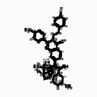 Cc1cnc(-c2nc3cc(N(C(=N)N4CCN[C@@H](C)C4)[C@H]4C[C@H]5C[C@@H]([C@@H]4C)C5(C)C)ccc3c(=O)n2CCc2ccc(F)cc2)cn1